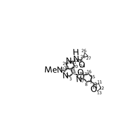 CNc1ncc(-c2nc3cc(C4CCCO4)ccc3o2)c2cc(NC(=O)C3CC3)ncc12